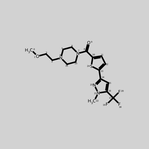 COCCN1CCN(C(=O)c2ccc(-c3cc(C(F)(F)F)n(C)n3)s2)CC1